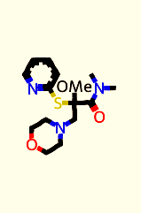 COC(CN1CCOCC1)(Sc1ccccn1)C(=O)N(C)C